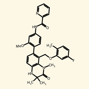 COc1cc(NC(=O)c2ccccn2)ccc1-c1ccc2c(c1COc1cc(F)ccc1C)N(C)C(=O)C(C)(C)N2